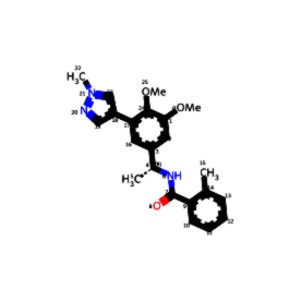 COc1cc([C@@H](C)NC(=O)c2ccccc2C)cc(-c2cnn(C)c2)c1OC